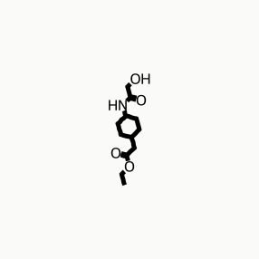 CCOC(=O)CC1CCC(NC(=O)CO)CC1